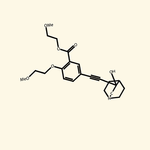 COCCOC(=O)c1cc(C#CC2(O)CN3CCC2CC3)ccc1OCCOC